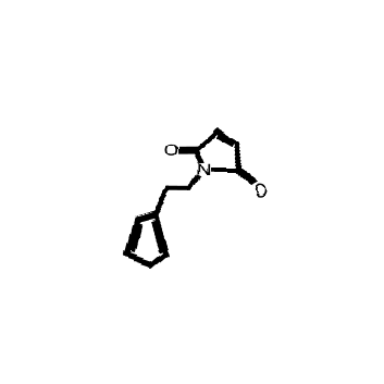 O=C1C=CC(=O)N1CCC1=CCC=C1